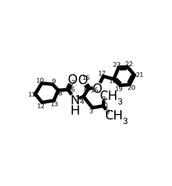 CC(C)CC(NC(=O)C1CCCCC1)C(=O)OCc1ccccc1